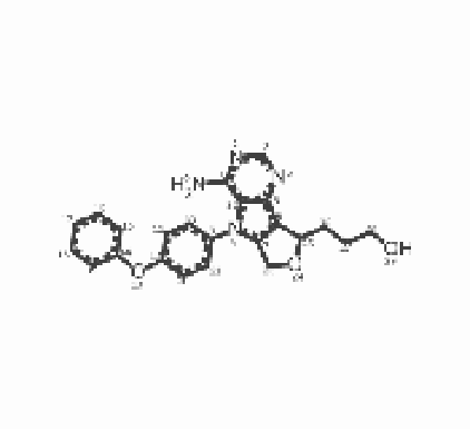 Nc1ncnc2c3c(n(-c4ccc(Oc5ccccc5)cc4)c12)COC3CCCO